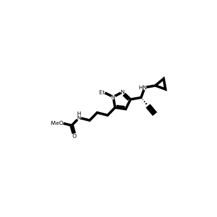 C#C[C@@H](NC1CC1)c1cc(CCCNC(=O)OC)n(CC)n1